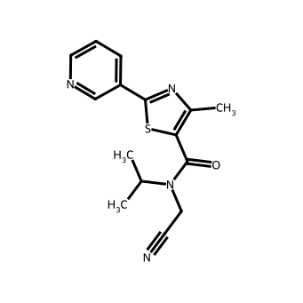 Cc1nc(-c2cccnc2)sc1C(=O)N(CC#N)C(C)C